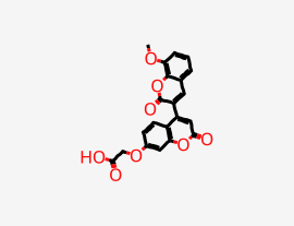 COc1cccc2cc(-c3cc(=O)oc4cc(OCC(=O)O)ccc34)c(=O)oc12